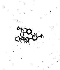 CC1(Cn2cc(-c3ccc(C#N)nc3-c3ccc4c(c3)C(=O)N(C3CC3)C4)cn2)CCCC1